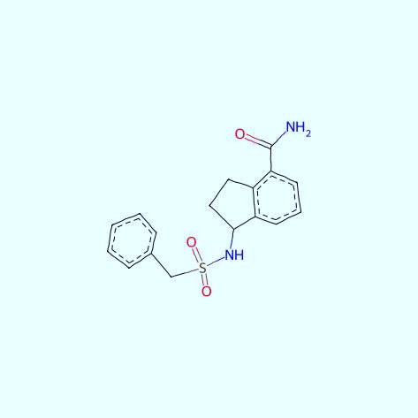 NC(=O)c1cccc2c1CCC2NS(=O)(=O)Cc1ccccc1